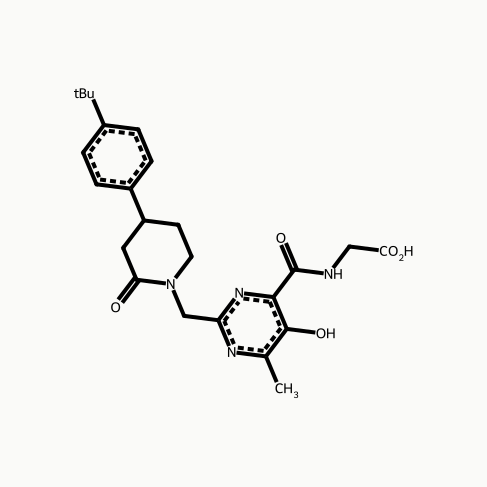 Cc1nc(CN2CCC(c3ccc(C(C)(C)C)cc3)CC2=O)nc(C(=O)NCC(=O)O)c1O